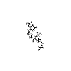 CC1(C)C[C@@H]1C(=O)N1CC2(CN(C(=O)c3cnn(Cc4ccc(F)cc4OC(F)F)c3)C[C@H]2CO)C1